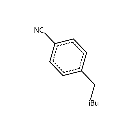 CCC(C)Cc1ccc(C#N)cc1